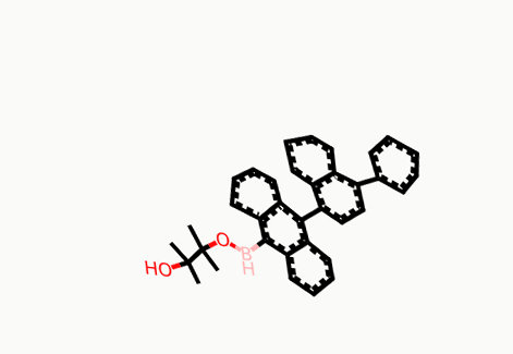 CC(C)(O)C(C)(C)OBc1c2ccccc2c(-c2ccc(-c3ccccc3)c3ccccc23)c2ccccc12